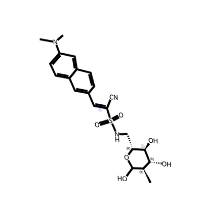 C[C@H]1C(O)O[C@H](CNS(=O)(=O)/C(C#N)=C/c2ccc3cc(N(C)C)ccc3c2)[C@@H](O)[C@@H]1O